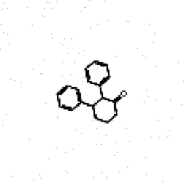 O=C1CCCC(c2ccccc2)C1c1ccccc1